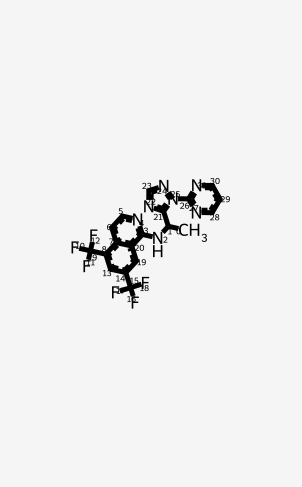 CC(Nc1nccc2c(C(F)(F)F)cc(C(F)(F)F)cc12)c1ncnn1-c1ncccn1